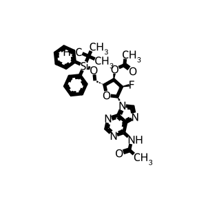 CC(=O)Nc1ncnc2c1ncn2[C@@H]1O[C@H](CO[Si](c2ccccc2)(c2ccccc2)C(C)(C)C)[C@@H](OC(C)=O)[C@H]1F